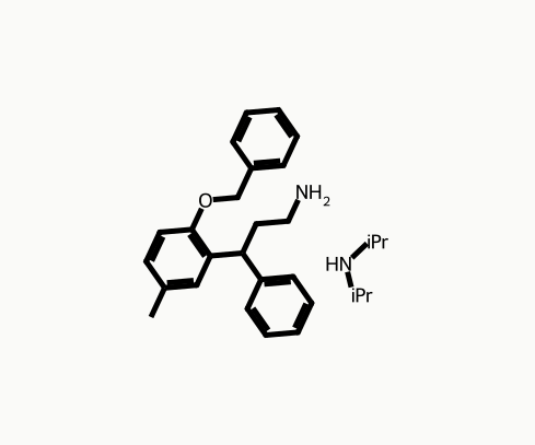 CC(C)NC(C)C.Cc1ccc(OCc2ccccc2)c(C(CCN)c2ccccc2)c1